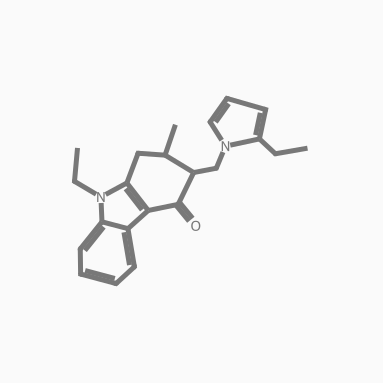 CCc1cccn1CC1C(=O)c2c(n(CC)c3ccccc23)CC1C